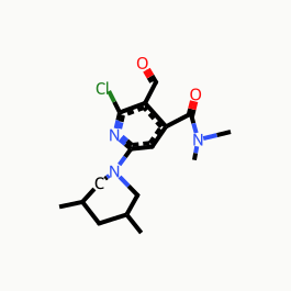 CC1CC(C)CN(c2cc(C(=O)N(C)C)c(C=O)c(Cl)n2)C1